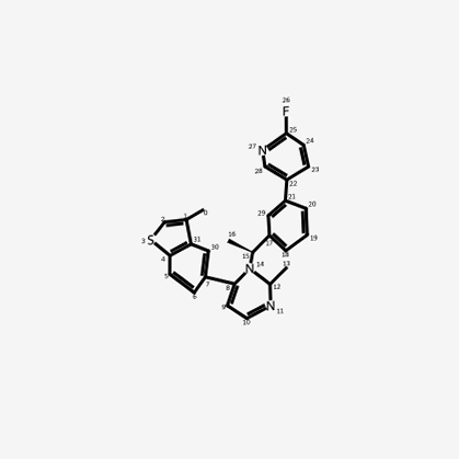 Cc1csc2ccc(C3=CC=NC(C)N3[C@@H](C)c3cccc(-c4ccc(F)nc4)c3)cc12